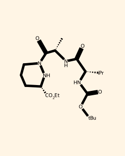 CCOC(=O)[C@@H]1CCCN(C(=O)[C@H](C)NC(=O)[C@@H](NC(=O)OC(C)(C)C)C(C)C)N1